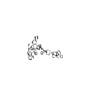 CN(CC1CCC(=O)O1)C1CCN(C(=O)Cn2cc(NC(=O)c3cnn4cccnc34)c(-c3cc(Cl)ccc3OC(F)F)n2)CC1